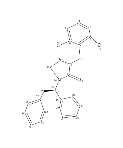 O=C1C(Cc2c(Cl)cccc2Cl)CCN1[C@H](Cc1ccccc1)c1ccccc1